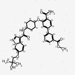 COC(=O)c1cncc(-c2ccc(C(N)=O)c(OC3CCC(NC(=O)c4cnn5cc(OCC(C)(C)O)ccc45)CC3)c2)c1